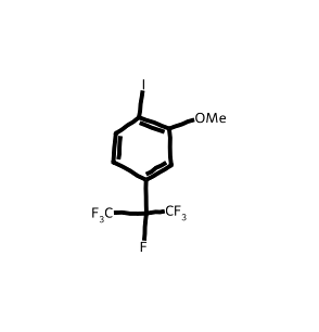 COc1cc(C(F)(C(F)(F)F)C(F)(F)F)ccc1I